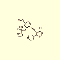 CCc1ncnc(N2CCOCC2)c1C#Cc1cnc(OC)c(NS(=O)(=O)c2ccco2)c1